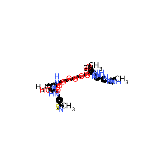 CCCC[C@H](NC(=O)COCCOCCOCCOCCOc1cc(Nc2nccc(-c3ccc(N4CCNC(CC)C4)nc3)n2)cc(OC)c1OC)C(=O)N1C[C@H](O)C[C@H]1C(=O)NCc1ccc(-c2scnc2C)cc1